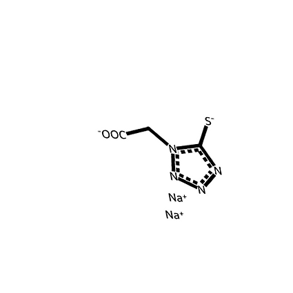 O=C([O-])Cn1nnnc1[S-].[Na+].[Na+]